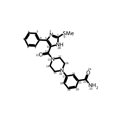 CSc1nc(-c2ccccc2)c(C(=O)N2CCN(c3cccc(C(N)=O)c3)CC2)[nH]1